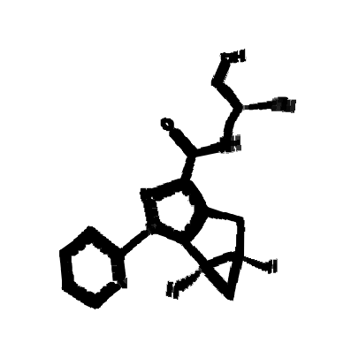 CC(C)(C)[C@@H](CO)NC(=O)c1nn(-c2ccccn2)c2c1C[C@H]1C[C@@H]21